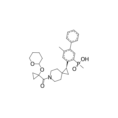 Cc1cc([C@H]2CC23CCN(C(=O)C2(OC4CCCCO4)CC2)CC3)c(P(C)(=O)O)cc1-c1ccccc1